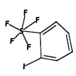 FS(F)(F)(F)(F)c1ccccc1I